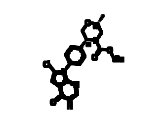 C[C@@H]1CN(C(=O)OC(C)(C)C)[C@H](c2ccc(-n3c(Cl)cc4c(=O)[nH]cnc43)cc2)CO1